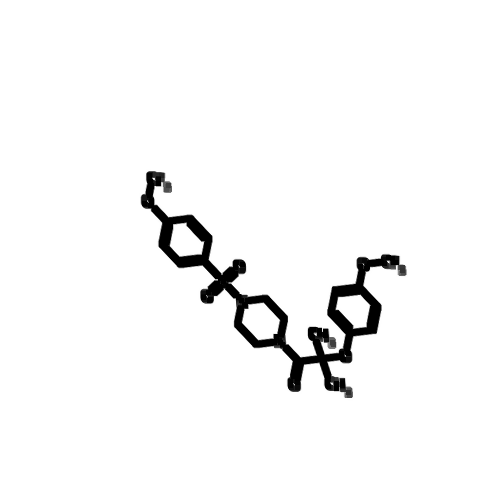 CC(C)(Oc1ccc(OC(F)(F)F)cc1)C(=O)N1CCN(S(=O)(=O)c2ccc(OC(F)(F)F)cc2)CC1